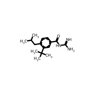 CC(C)Cc1ccc(C(=O)NC(=N)N)cc1C(C)(C)C